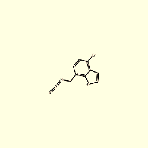 [N-]=[N+]=NCc1ccc(Br)c2cc[nH]c12